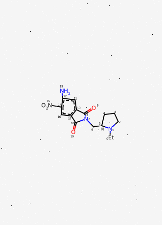 CCN1CCC[C@@H]1CN1C(=O)c2cc(N)c([N+](=O)[O-])cc2C1=O